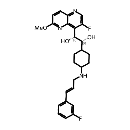 COc1ccc2ncc(F)c([C@@H](O)[C@H](O)C3CCC(NCC=Cc4cccc(F)c4)CC3)c2n1